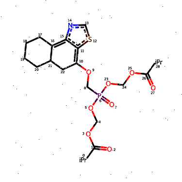 CC(C)C(=O)OCOP(=O)(COC1=c2scnc2=C2CCCCC2C1)OCOC(=O)C(C)C